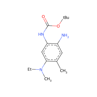 CCN(C)c1cc(NC(=O)OC(C)(C)C)c(N)cc1C